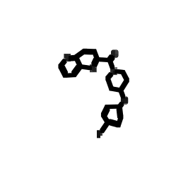 O=C(c1ccc2ncccc2n1)N1CCC(Oc2ccc(F)cc2)CC1